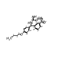 CCCCOc1ccc(C(NC(=N)OC)c2cccc([N+](=O)[O-])c2)cc1